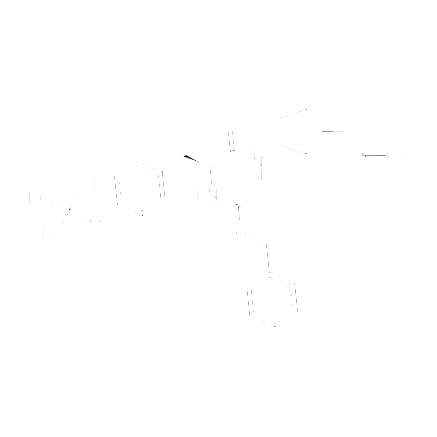 CC(=O)SC1CCC(NC(=O)[C@H](Cc2ccc(OC(C)(C)C)cc2)NC(=O)OCc2ccccc2)C1